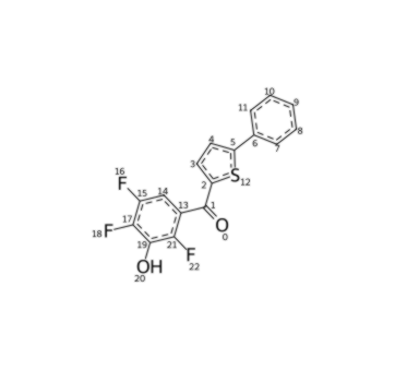 O=C(c1ccc(-c2ccccc2)s1)c1cc(F)c(F)c(O)c1F